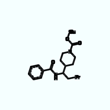 CC(C)CC(NC(=O)c1ccccc1)C1CCN(C(=O)OC(C)(C)C)CC1